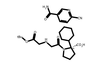 CC(C)(C)OC(=O)CNCC(=O)N1CCC[C@]1(C(=O)O)C1CCCCC1.N#Cc1ccc(C(N)=O)cn1